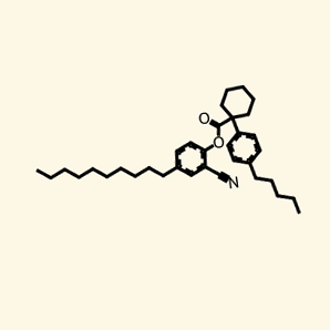 CCCCCCCCCCc1ccc(OC(=O)C2(c3ccc(CCCCC)cc3)CCCCC2)c(C#N)c1